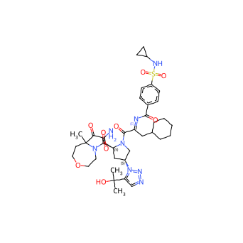 CC(C)(O)c1cnnn1[C@H]1C[C@@H](C(=O)N2CCOCCC2(C)C(=O)C(N)=O)N(C(=O)/C(CC2CCCCC2)=N/C(=O)c2ccc(S(=O)(=O)NC3CC3)cc2)C1